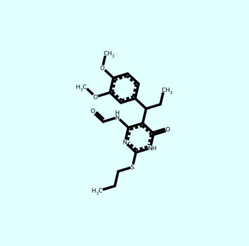 CCCSc1nc(NC=O)c(C(CC)c2ccc(OC)c(OC)c2)c(=O)[nH]1